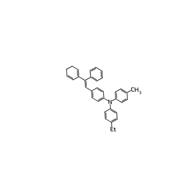 CCc1ccc(N(c2ccc(C)cc2)c2ccc(C=C(C3=CCCC=C3)c3ccccc3)cc2)cc1